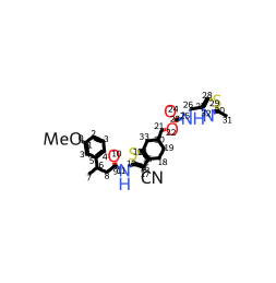 COc1cccc(C(C)CC(=O)Nc2sc3c(c2C#N)CCC(COC(=O)NCc2csc(C)n2)C3)c1